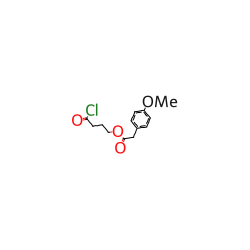 COc1ccc(CC(=O)OCCCC(=O)Cl)cc1